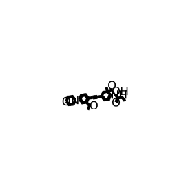 CCC(=O)NC1=CC=C(C#Cc2ccc(N3CCOCC3)cc2C(C)=O)CC1(C)C(=O)O